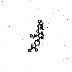 CCNC(=O)C1CCN(c2ncnc(Oc3cc(C(F)(F)F)nn3C)c2[N+](=O)[O-])CC1